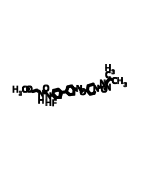 COCCNC(=O)Nc1ccc(C2CCC(=NOC3CCN(c4nc(C(C)C)no4)CC3)CC2)cc1F